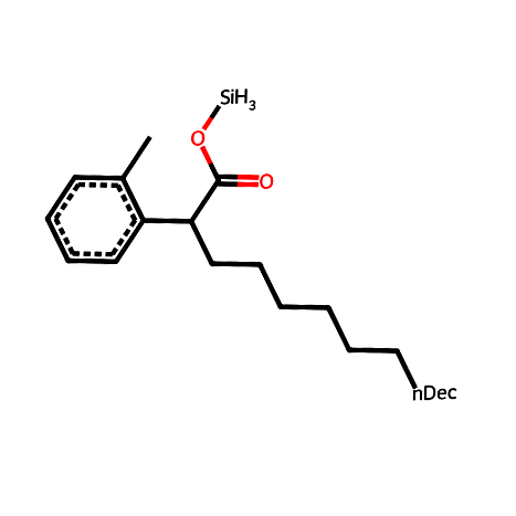 CCCCCCCCCCCCCCCCC(C(=O)O[SiH3])c1ccccc1C